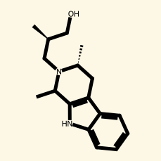 CC1c2[nH]c3ccccc3c2C[C@@H](C)N1C[C@@H](C)CO